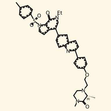 CCn1cc(-c2ccc3nc(-c4ccc(OCCN5CCN(C)C(=O)[C@H]5C)cc4)ccc3c2)c2ccn(S(=O)(=O)c3ccc(C)cc3)c2c1=O